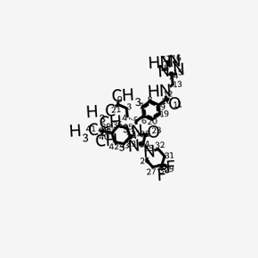 CC(C)CC[C@H](c1ccc(C(=O)NCc2nn[nH]n2)cc1)N1C(=O)C(N2CCC(F)(F)CC2)=NC12CCC(C(C)(C)C)CC2